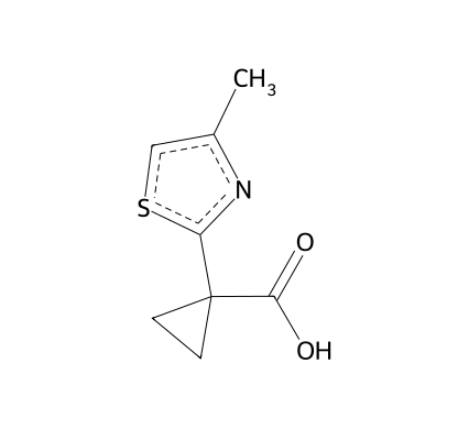 Cc1csc(C2(C(=O)O)CC2)n1